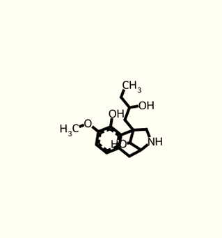 CCC(O)CC12CNC(Cc3ccc(OC)c(O)c31)C2O